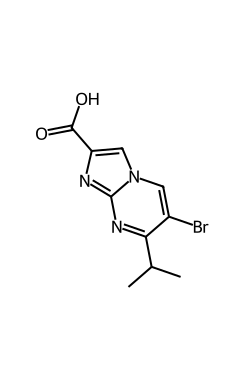 CC(C)c1nc2nc(C(=O)O)cn2cc1Br